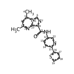 Cc1cc(C)n2cnc(C(=O)Nc3ccc(-c4cccs4)nc3)c2n1